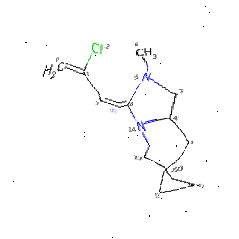 C=C(Cl)/C=C1\N(C)CC2CC3(CC3)CN12